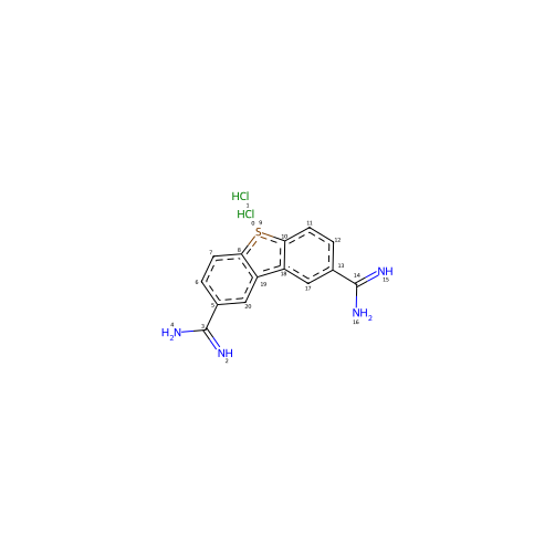 Cl.Cl.N=C(N)c1ccc2sc3ccc(C(=N)N)cc3c2c1